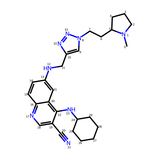 CN1CCCC1CCn1cc(CNc2ccc3ncc(C#N)c(NC4CCCCC4)c3c2)nn1